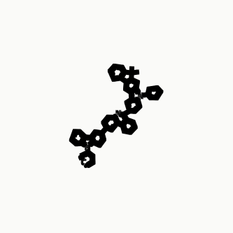 CC1(C)c2ccccc2-c2cc3c4cc(-c5nc6ccc(-c7ccc8c(c7)c7ccccc7n8-c7ccccc7)cc6c6ccccc56)ccc4n(-c4ccccc4)c3cc21